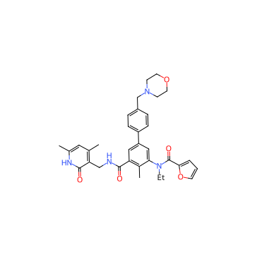 CCN(C(=O)c1ccco1)c1cc(-c2ccc(CN3CCOCC3)cc2)cc(C(=O)NCc2c(C)cc(C)[nH]c2=O)c1C